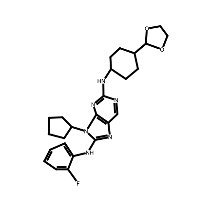 Fc1ccccc1Nc1nc2cnc(NC3CCC(C4OCCO4)CC3)nc2n1C1CCCC1